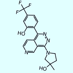 CC1(O)CCN(c2nnc(-c3ccc(C(F)(F)F)cc3O)c3ccncc23)C1